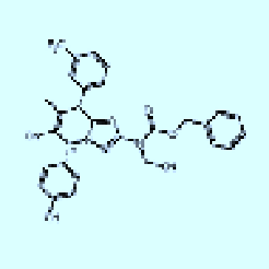 [C-]#[N+]C1=C(C)N(c2cccc(C(F)(F)F)c2)c2nc(N(CC#N)C(=O)OCc3ccccc3)nn2[C@@H]1c1ccc(C#N)cc1